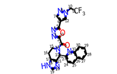 O=C(c1nnc(-c2cnn(CC(F)(F)F)c2)o1)N1CCc2[nH]cnc2[C@@H]1c1ccc2ccccc2n1